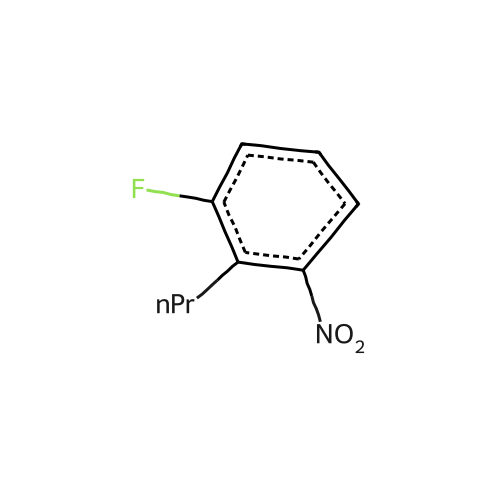 [CH2]CCc1c(F)cccc1[N+](=O)[O-]